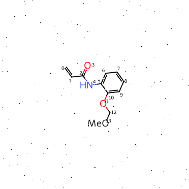 C=CC(=O)Nc1ccccc1OCOC